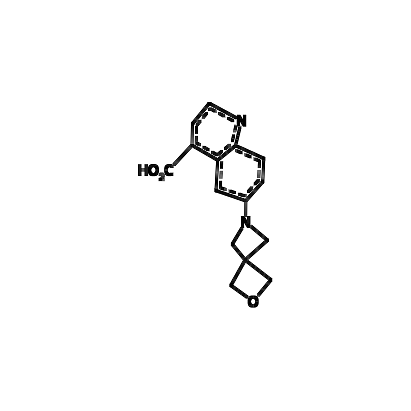 O=C(O)c1ccnc2ccc(N3CC4(COC4)C3)cc12